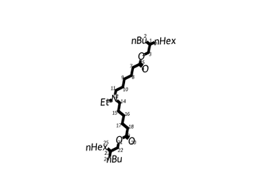 CCCCCCC(CCCC)COC(=O)CCCCCN(CC)CCCCCC(=O)OCC(CCCC)CCCCCC